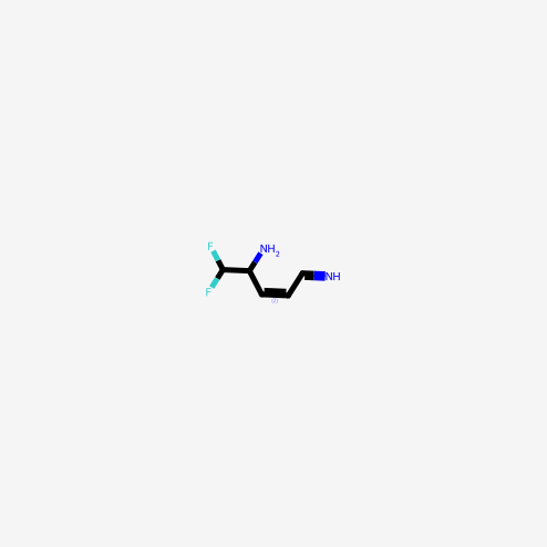 N=C/C=C\C(N)C(F)F